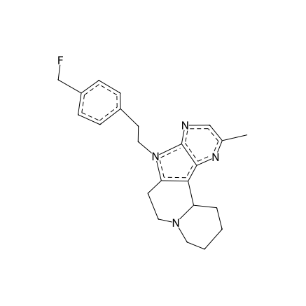 Cc1cnc2c(n1)c1c(n2CCc2ccc(CF)cc2)CCN2CCCCC12